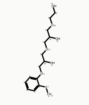 COc1ccccc1OCC(O)COCC(O)COCCO